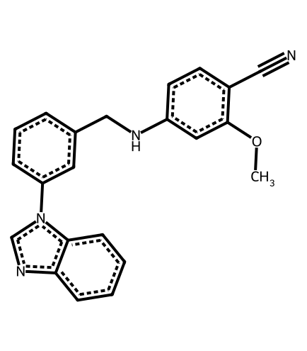 COc1cc(NCc2cccc(-n3cnc4ccccc43)c2)ccc1C#N